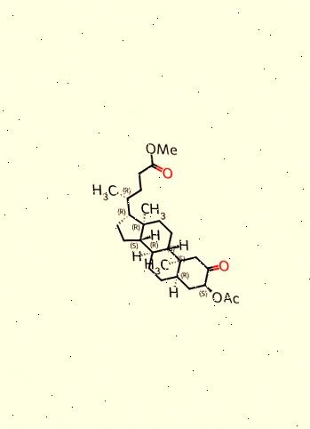 COC(=O)CC[C@@H](C)[C@H]1CC[C@H]2[C@@H]3CC[C@@H]4C[C@H](OC(C)=O)C(=O)C[C@]4(C)[C@H]3CC[C@]12C